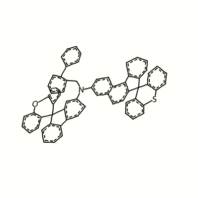 c1ccc(-c2ccccc2CN(c2ccc3c(c2)C2(c4ccccc4Oc4ccccc42)c2ccccc2-3)c2ccc3c4c(ccc3c2)C2(c3ccccc3Sc3ccccc32)c2ccccc2-4)cc1